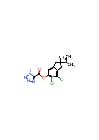 CC(C)C1(C)Cc2cc(OC(=O)c3nnn[nH]3)c(Cl)c(Cl)c2C1